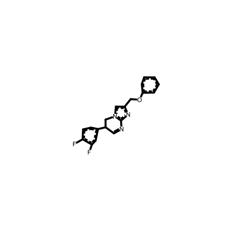 Fc1ccc(C2C=Nc3nc(COc4ccccc4)cn3C2)cc1F